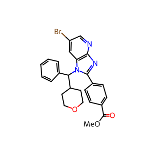 COC(=O)c1ccc(-c2nc3ncc(Br)cc3n2C(c2ccccc2)C2CCOCC2)cc1